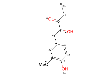 COc1cc(CC(O)C(=O)CC(C)C)ccc1O